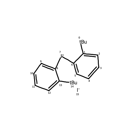 CC(C)(C)c1ccccc1[I+]c1ccccc1C(C)(C)C.[I-]